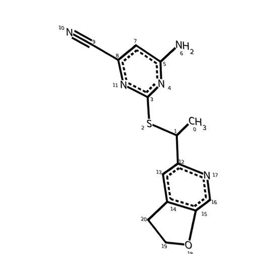 CC(Sc1nc(N)cc(C#N)n1)c1cc2c(cn1)OCC2